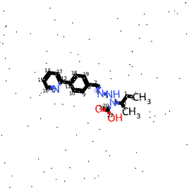 CCC(C)N(N/N=C/c1ccc(-c2ccccn2)cc1)C(=O)O